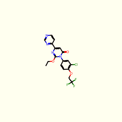 CCOc1nc(-c2ccncn2)cc(=O)n1-c1ccc(OCC(F)(F)F)c(Cl)c1